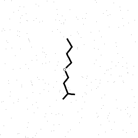 CCCCOCC[C](C)C